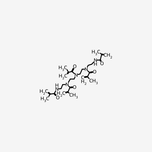 C=C(C)C(=O)NCCN(CCN(CCN(CCNC(=O)C(=C)C)C(=O)C(=C)C)C(=O)C(=C)C)C(=O)C(=C)C